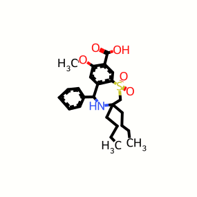 CCCCC1(CCCC)CS(=O)(=O)c2cc(C(=O)O)c(OC)cc2C(c2ccccc2)N1